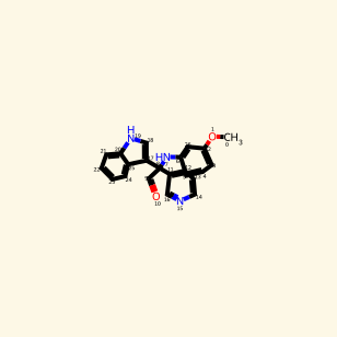 COc1cccc(NC(C=O)(c2cccnc2)c2c[nH]c3ccccc23)c1